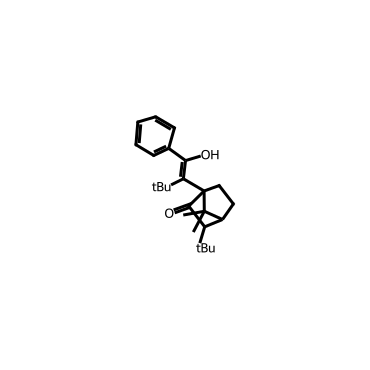 CC(C)(C)C(=C(O)c1ccccc1)C12CCC(C(C(C)(C)C)C1=O)C2(C)C